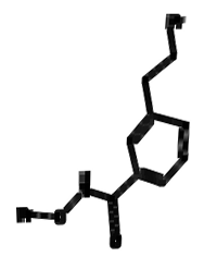 CC(C)CCc1cccc(C(=O)NOC(C)C)c1